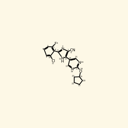 N#Cc1nc(-c2c(F)cccc2Cl)[nH]c1-c1cnc(OC2CCCC2)nc1